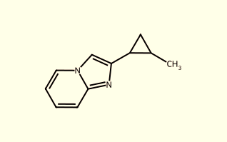 CC1CC1c1cn2ccccc2n1